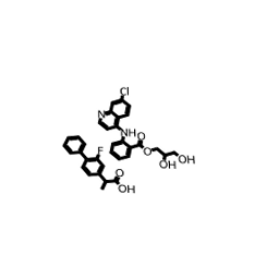 CC(C(=O)O)c1ccc(-c2ccccc2)c(F)c1.O=C(OCC(O)CO)c1ccccc1Nc1ccnc2cc(Cl)ccc12